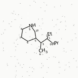 CCCC(CC)C(C)C1CCCNC1